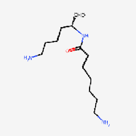 NCCCCCCC(=O)N[C@H]([C]=O)CCCCN